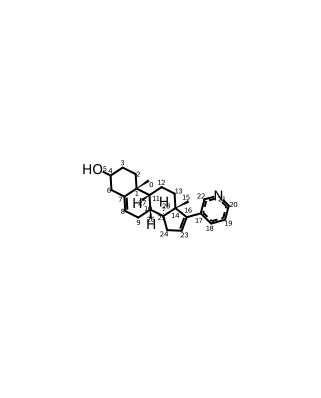 C[C@]12CCC(O)CC1=CC[C@@H]1[C@H]2CC[C@]2(C)C(c3cccnc3)=CC[C@@H]12